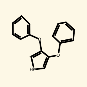 [c]1[pH]cc(Oc2ccccc2)c1Oc1ccccc1